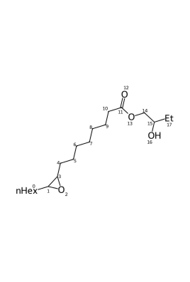 CCCCCCC1OC1CCCCCCCC(=O)OCC(O)CC